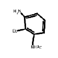 CCc1c(N)cccc1NC(C)=O